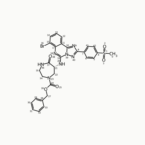 CS(=O)(=O)c1ccc(-c2nc3c4cccc(Br)c4nc(N[C@@H]4CN(C(=O)OCc5ccccc5)CCNC4=O)n3n2)cc1